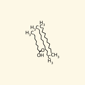 CCCCCCCC(=O)O.CCCCCCCCCCCC.CCCCCCCCCCCC